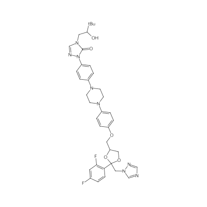 CC(C)(C)C(O)Cn1cnn(-c2ccc(N3CCN(c4ccc(OCC5COC(Cn6cncn6)(c6ccc(F)cc6F)O5)cc4)CC3)cc2)c1=O